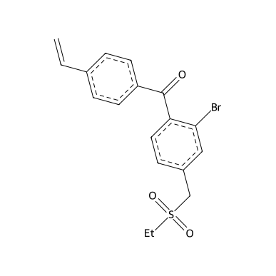 C=Cc1ccc(C(=O)c2ccc(CS(=O)(=O)CC)cc2Br)cc1